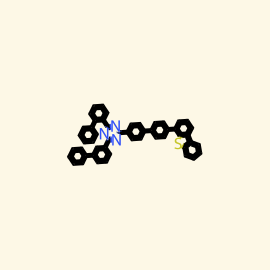 c1ccc(-c2cccc(-c3nc(-c4ccc(-c5ccc(-c6cccc7c6sc6ccccc67)cc5)cc4)nc(-c4ccccc4-c4ccccc4)n3)c2)cc1